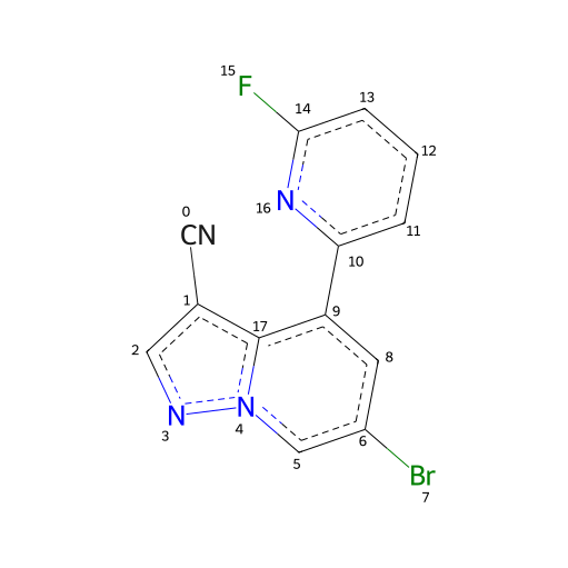 N#Cc1cnn2cc(Br)cc(-c3cccc(F)n3)c12